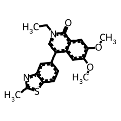 CCn1cc(-c2ccc3sc(C)nc3c2)c2cc(OC)c(OC)cc2c1=O